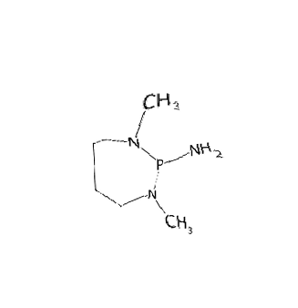 CN1CCCN(C)P1N